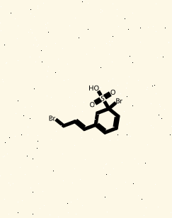 O=S(=O)(O)C1(Br)C=CC=C(C=CCBr)C1